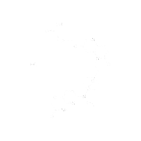 CN(c1ccc2c(n1)NC(=O)CO2)C12CCC(CCn3c(=O)ccc4ncc(OCC5CC5C(=O)O)cc43)(CC1)OC2.Cl